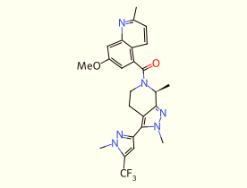 COc1cc(C(=O)N2CCc3c(nn(C)c3-c3cc(C(F)(F)F)n(C)n3)[C@@H]2C)c2ccc(C)nc2c1